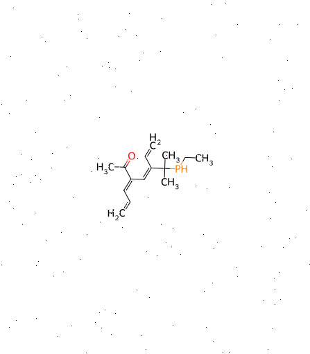 C=C/C=C(\C=C(/C=C)C(C)(C)PCC)C(C)=O